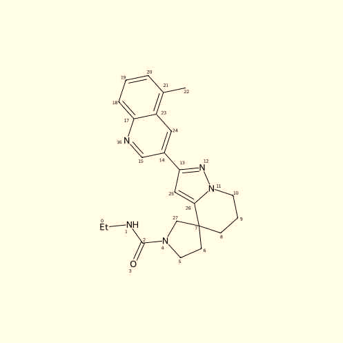 CCNC(=O)N1CCC2(CCCn3nc(-c4cnc5cccc(C)c5c4)cc32)C1